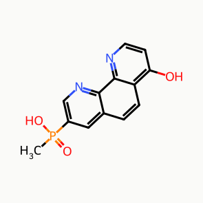 CP(=O)(O)c1cnc2c(ccc3c(O)ccnc32)c1